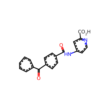 O=C(Nc1ccnc(C(=O)O)c1)c1ccc(C(=O)c2ccccc2)cc1